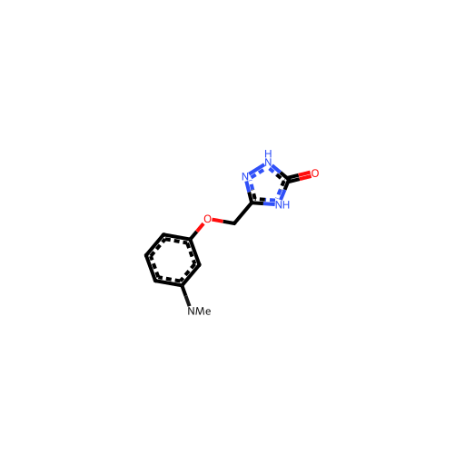 CNc1cccc(OCc2n[nH]c(=O)[nH]2)c1